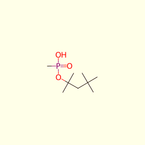 CC(C)(C)CC(C)(C)OP(C)(=O)O